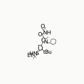 CCC(C)(C)NSc1ccc(-c2cc(C(=O)NC3COC3)c(C)n2CC2CCCCC2)cc1C(C)(C)C